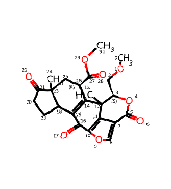 COC[C@H]1OC(=O)c2coc3c2C1(C)C1=C(C3=O)C2CCC(=O)C2(C)C[C@H]1C(=O)OC